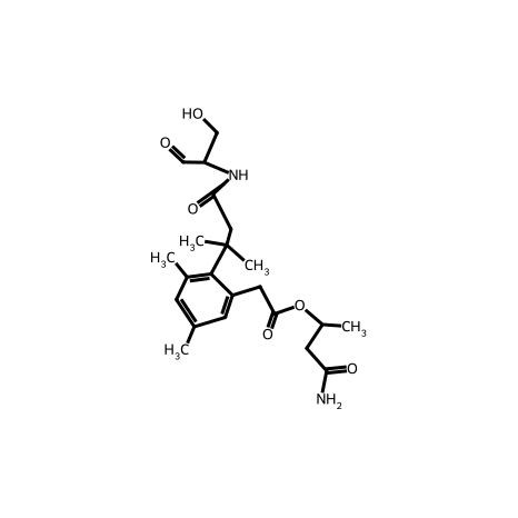 Cc1cc(C)c(C(C)(C)CC(=O)NC(C=O)CO)c(CC(=O)OC(C)CC(N)=O)c1